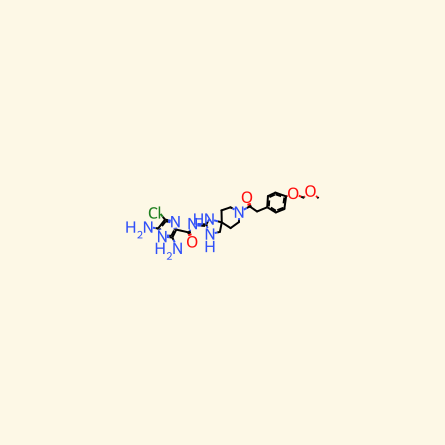 COCOc1ccc(CC(=O)N2CCC3(CC2)CN/C(=N\C(=O)c2nc(Cl)c(N)nc2N)N3)cc1